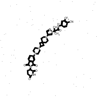 CC(C)(C(=O)Nc1ccc(C#N)c(C(F)(F)F)c1)n1cc(N2CCC3(CC2)CC(N2CCN(c4ccc5c(c4)C(=O)N(C4CCC(=O)NC4=O)C5=O)CC2)C3)cn1